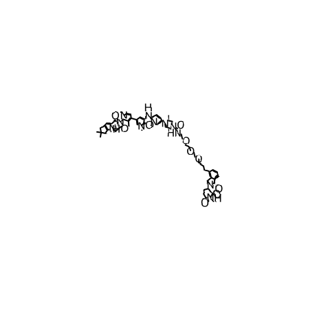 C[C@H]1CN(C(=O)NCCOCCOCCOCCCc2cccc3c2CN(C2CCC(=O)NC2=O)C3=O)CCN1c1ccc(Nc2cc(-c3ccnc(N4CCn5c(cc6c5CC(C)(C)C6)C4=O)c3CO)cn(C)c2=O)nc1